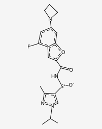 Cc1nn(C(C)C)cc1[S+]([O-])NC(=O)c1cc2c(F)cc(N3CCC3)cc2o1